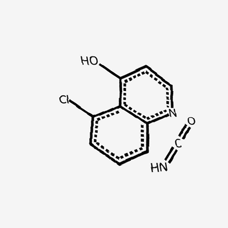 N=C=O.Oc1ccnc2cccc(Cl)c12